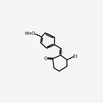 CCC1CCCC(=O)/C1=C\c1ccc(OC)cc1